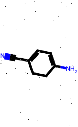 N#CC1=CC=C(N)CC1